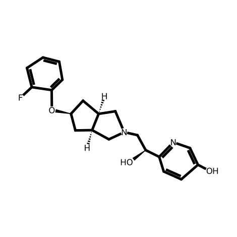 Oc1ccc([C@@H](O)CN2C[C@H]3C[C@@H](Oc4ccccc4F)C[C@H]3C2)nc1